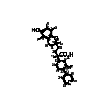 Cc1c(C)c2c(c(C)c1O)CCC(C)(CCC(C)(C(=O)O)c1ccc(-c3ccccc3)c(F)c1)O2